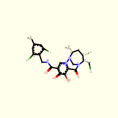 Cc1cc(F)c(CNC(=O)c2cn3c(c(O)c2=O)C(=O)N2CN3[C@H](C)C[C@H](F)[C@@H]2CF)c(F)c1